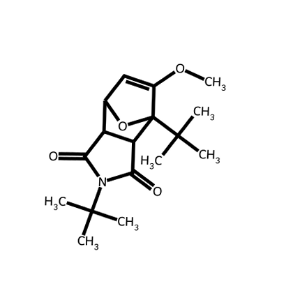 COC1=CC2OC1(C(C)(C)C)C1C(=O)N(C(C)(C)C)C(=O)C21